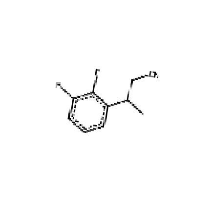 CC(CC#N)c1cccc(F)c1F